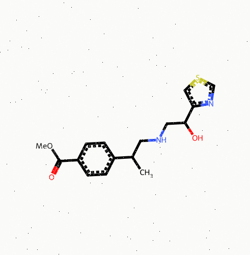 COC(=O)c1ccc(C(C)CNCC(O)c2cscn2)cc1